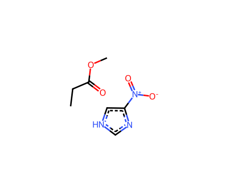 CCC(=O)OC.O=[N+]([O-])c1c[nH]cn1